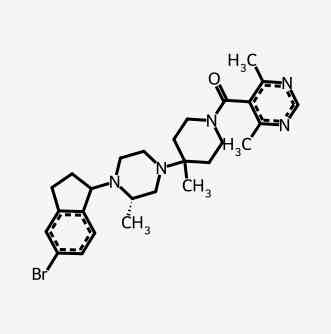 Cc1ncnc(C)c1C(=O)N1CCC(C)(N2CCN(C3CCc4cc(Br)ccc43)[C@@H](C)C2)CC1